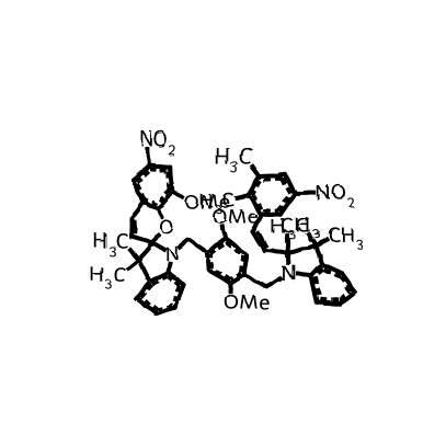 COc1cc(CN2c3ccccc3C(C)(C)C23C=Cc2cc([N+](=O)[O-])cc(OC)c2O3)c(OC)cc1CN1c2ccccc2C(C)(C)C1(C)/C=C\c1cc([N+](=O)[O-])cc(C)c1C